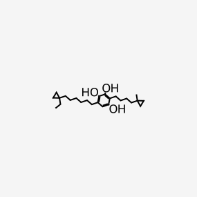 CCC1(CCCCCCc2cc(O)c(CCCCC3(C)CC3)c(O)c2O)CC1